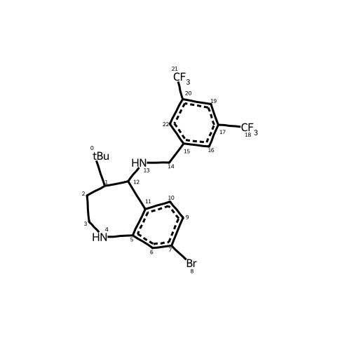 CC(C)(C)C1CCNc2cc(Br)ccc2C1NCc1cc(C(F)(F)F)cc(C(F)(F)F)c1